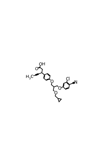 CC#CC(CC(=O)O)c1ccc(OCC(COCC2CC2)COc2ccc(C#N)c(Cl)c2)cc1